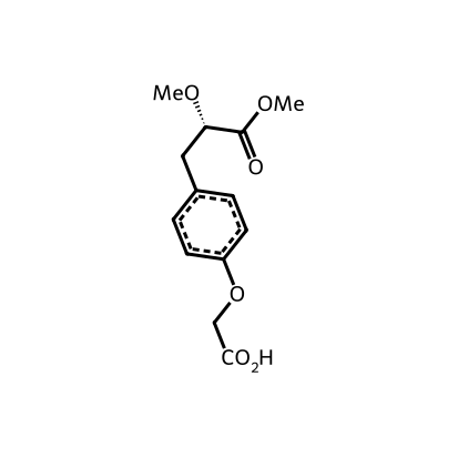 COC(=O)[C@H](Cc1ccc(OCC(=O)O)cc1)OC